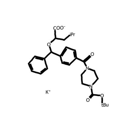 CC(C)CC(OC(c1ccccc1)c1ccc(C(=O)N2CCN(C(=O)OC(C)(C)C)CC2)cc1)C(=O)[O-].[K+]